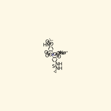 CC(C)S(=O)(=O)Nc1ccc(/C=C/c2ccc(NC(=S)NC3CC3)cc2S(=O)(=O)[O-])c(S(=O)(=O)[O-])c1.[Na+].[Na+]